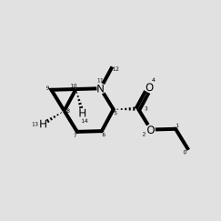 CCOC(=O)[C@@H]1CC[C@H]2C[C@H]2N1C